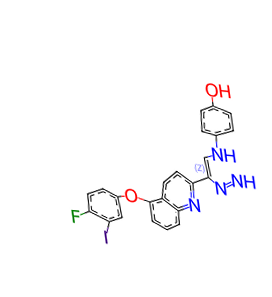 N=N/C(=C\Nc1ccc(O)cc1)c1ccc2c(Oc3ccc(F)c(I)c3)cccc2n1